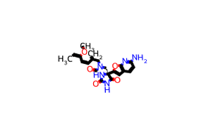 C=C(/C=C\C(=C/C)OC)CN(C=O)C[C@@]1(c2cc3ccc(N)nc3o2)NC(=O)NC1=O